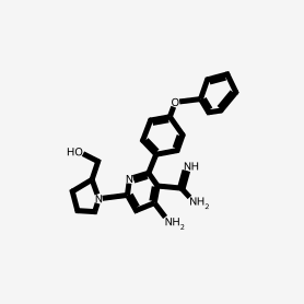 N=C(N)c1c(N)cc(N2CCCC2CO)nc1-c1ccc(Oc2ccccc2)cc1